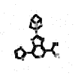 O[C@H](c1ccc(-c2nccs2)c2oc(N3CC4CC(C3)N4)nc12)C(F)(F)F